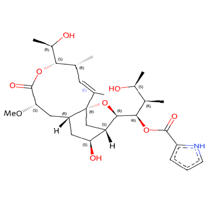 CO[C@H]1C[C@H]2C[C@H](O)[C@@H]3C[C@]2(O[C@H]3[C@H](OC(=O)c2ccc[nH]2)[C@H](C)[C@H](C)O)/C(C)=C/[C@@H](C)[C@@H]([C@@H](C)O)OC1=O